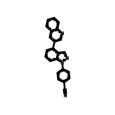 N#Cc1ccc(-n2ncc3c(-c4cnc5ccccc5c4)cccc32)cc1